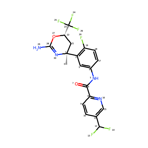 C[C@@]1(c2cc(NC(=O)c3ccc(C(F)F)cn3)ccc2F)C[C@@H](C(F)(F)F)OC(N)=N1